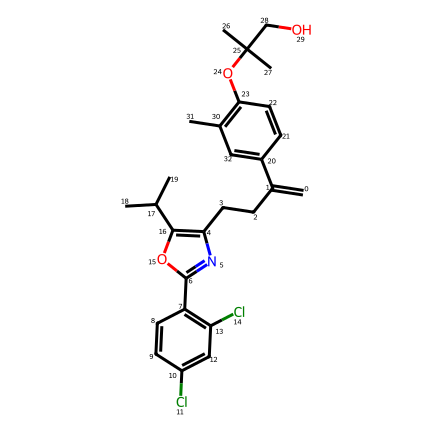 C=C(CCc1nc(-c2ccc(Cl)cc2Cl)oc1C(C)C)c1ccc(OC(C)(C)CO)c(C)c1